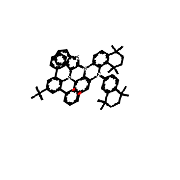 Cc1cc2c3c(c1)N(c1c(-c4ccccc4)cc(C(C)(C)C)cc1-c1ccccc1)c1c(sc4ccccc14)B3c1ccc3c(c1N2c1ccc2c(c1)C(C)(C)CCC2(C)C)C(C)(C)CCC3(C)C